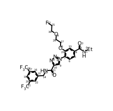 CCNC(=O)c1ccc(-n2cc(C(=O)NCc3cc(C(F)(F)F)cc(C(F)(F)F)c3)nn2)c(OCCOCCF)c1